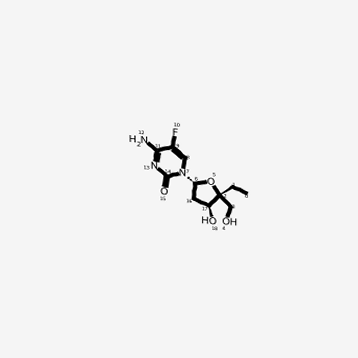 CC[C@]1(CO)O[C@@H](n2cc(F)c(N)nc2=O)C[C@@H]1O